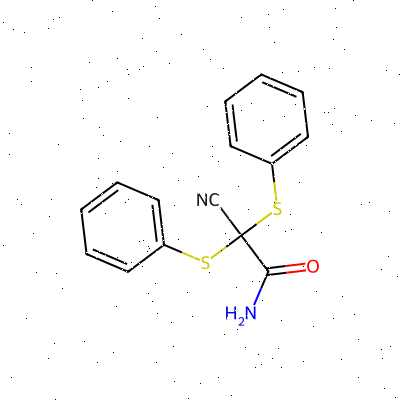 N#CC(Sc1ccccc1)(Sc1ccccc1)C(N)=O